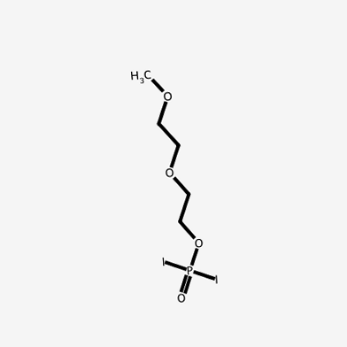 COCCOCCOP(=O)(I)I